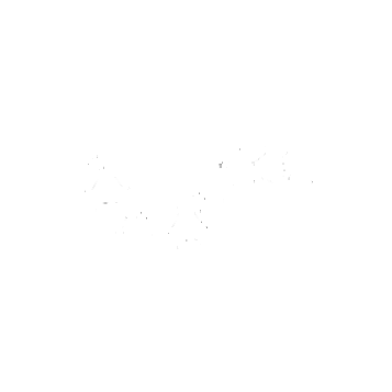 O=C(NCc1ccnc(N2CCCN(Cc3ccc(F)cc3)CC2)c1)c1ccc(Cl)cc1